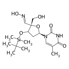 Cc1cn([C@H]2CC(O[Si](C)(C)C(C)(C)C)[C@@](C=NO)(CO)O2)c(=O)[nH]c1=O